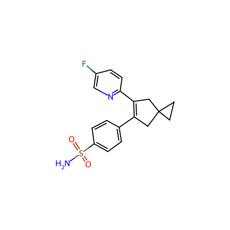 NS(=O)(=O)c1ccc(C2=C(c3ccc(F)cn3)CC3(CC3)C2)cc1